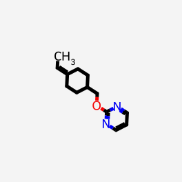 CC=C1CCC(COc2ncccn2)CC1